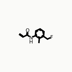 C=CC(=O)Nc1cccc(CF)c1C